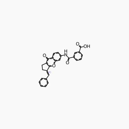 O=C(O)c1cccc(C(=O)Nc2ccc3c(=O)c4c(oc3c2)/C(=C/c2ccccc2)CC4)c1